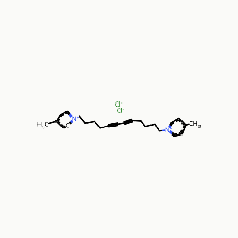 Cc1cc[n+](CCCCC#CC#CCCCC[n+]2ccc(C)cc2)cc1.[Cl-].[Cl-]